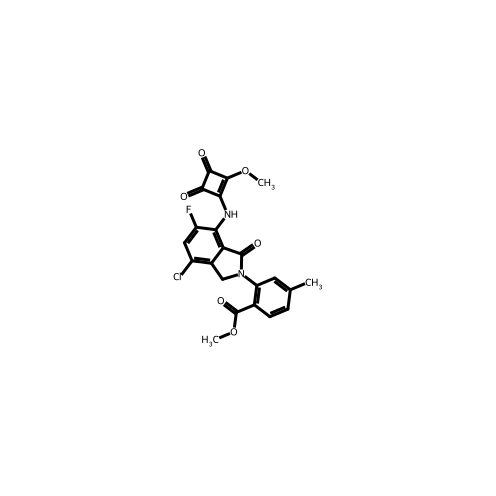 COC(=O)c1ccc(C)cc1N1Cc2c(Cl)cc(F)c(Nc3c(OC)c(=O)c3=O)c2C1=O